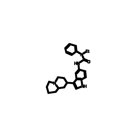 CCN(C(=O)Nc1ccc2[nH]cc(C3CCN4CCCCC4C3)c2c1)c1ccccc1